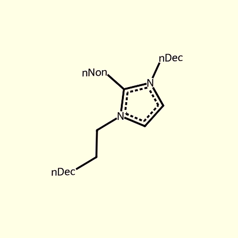 CCCCCCCCCCCC[n+]1ccn(CCCCCCCCCC)c1CCCCCCCCC